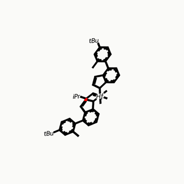 Cc1cc(C(C)(C)C)ccc1-c1cccc2c1C=C[CH]2[Hf]([CH3])([CH3])([CH3])(=[CH]CC(C)C)[CH]1C=Cc2c(-c3ccc(C(C)(C)C)cc3C)cccc21